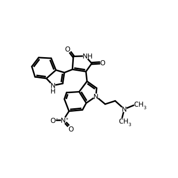 CN(C)CCn1cc(C2=C(c3c[nH]c4ccccc34)C(=O)NC2=O)c2ccc([N+](=O)[O-])cc21